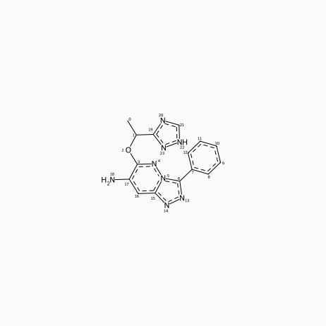 CC(Oc1nn2c(-c3ccccc3)nnc2cc1N)c1nc[nH]n1